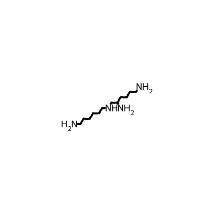 NCCCCCCNCC(N)CCCCN